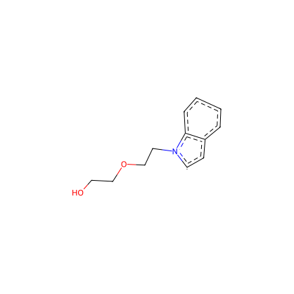 OCCOCCn1[c]cc2ccccc21